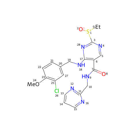 CC[S+]([O-])c1ncc(C(=O)NCc2ncccn2)c(NCc2ccc(OC)c(Cl)c2)n1